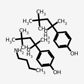 CC(C)(C)CC(C)(C)c1ccc(O)cc1.CC(C)(C)CC(C)(C)c1ccc(O)cc1.CCCCN